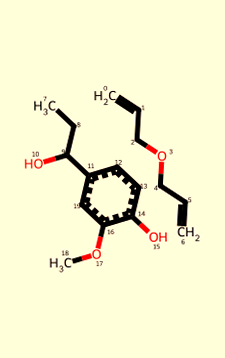 C=CCOCC=C.CCC(O)c1ccc(O)c(OC)c1